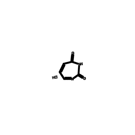 Cl.O=c1cccnc(=O)[nH]1